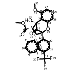 COC(=O)[C@H]1[C@@H](c2ccccc2)[C@@]2(c3ccc(C(F)(F)F)cc3)Oc3cncc(OC)c3[C@@]1(O)C2=O